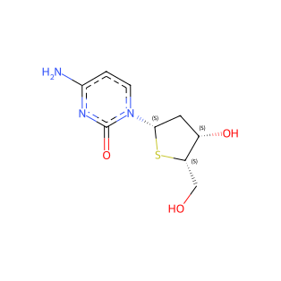 Nc1ccn([C@@H]2C[C@H](O)[C@H](CO)S2)c(=O)n1